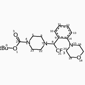 CC(C)(C)OC(=O)N1CCN(C(c2ccccc2N2CCOCC2)C(F)(F)F)CC1